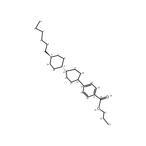 CCCCCC[C@H]1CC[C@H](C2CCC(c3ccc(C(=O)OCCC)cc3)CC2)CC1